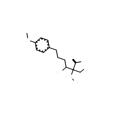 COc1ccc(CCCC(O)C(CO)(NCl)C(=O)O)cc1